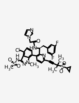 Cn1nc(NS(C)(=O)=O)c2c(Cl)ccc(-c3ccc(C#CC(C)(C)S(=O)(=O)C4CC4)nc3[C@H](Cc3cc(F)cc(F)c3)NC(=O)Cn3ccnc3)c21